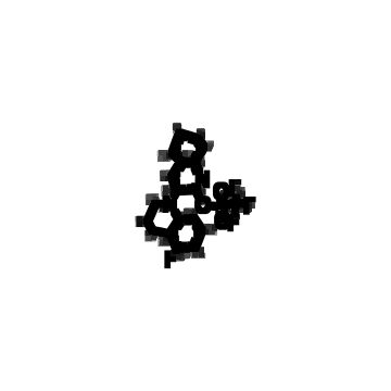 O=S(=O)(Oc1nc2ccccc2cc1N1CCCc2c(F)cccc21)C(F)(F)F